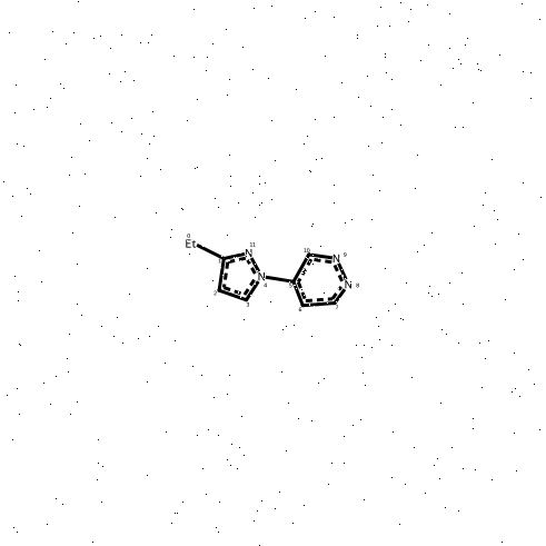 CCc1ccn(-c2ccnnc2)n1